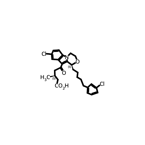 C[C@H](CC(=O)O)CC(=O)c1c2n(c3ccc(Cl)cc13)CCO[C@H]2CCCCCc1cccc(Cl)c1